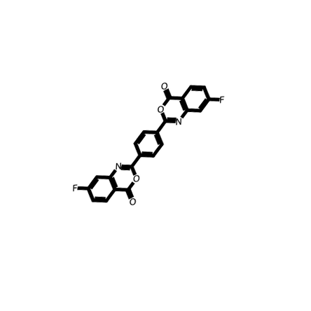 O=c1oc(-c2ccc(-c3nc4cc(F)ccc4c(=O)o3)cc2)nc2cc(F)ccc12